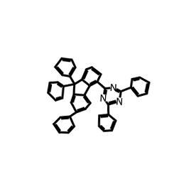 c1ccc(-c2ccc3c(c2)C(c2ccccc2)(c2ccccc2)c2cccc(-c4nc(-c5ccccc5)nc(-c5ccccc5)n4)c2-3)cc1